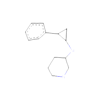 c1ccc(C2CC2NC2CCCNC2)cc1